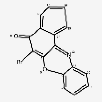 O=c1c(Br)c2oc3ccccc3nc-2c2ccccc12